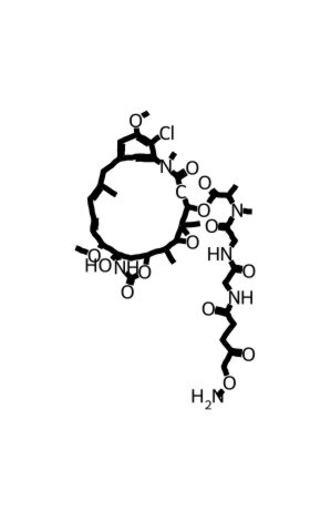 COc1cc2cc(c1Cl)N(C)C(=O)CC(OC(=O)C(C)N(C)C(=O)CNC(=O)CNC(=O)CCC(=O)CON)C1(C)OC1C(C)C1CC(O)(NC(=O)O1)C(OC)/C=C/C=C(\C)C2